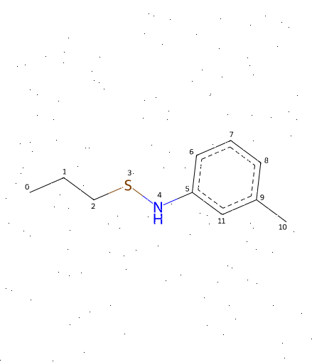 CCCSNc1cccc(C)c1